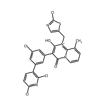 Cc1cccn2c(=O)c(-c3cc(Cl)cc(-c4ccc(Cl)nc4Cl)c3)c(O)[n+](Cc3cnc(Cl)s3)c12